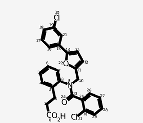 O=C(O)CCc1ccccc1N(Cc1ccc(-c2cccc(Cl)c2)o1)C(=O)c1ccccc1Cl